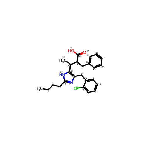 CCCCc1nc(Cc2ccccc2Cl)c(C(C)C(Cc2ccccc2)C(=O)O)[nH]1